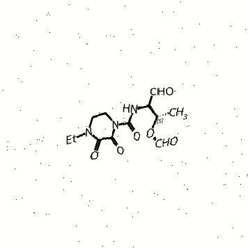 CCN1CCN(C(=O)NC([C]=O)[C@H](C)OC=O)C(=O)C1=O